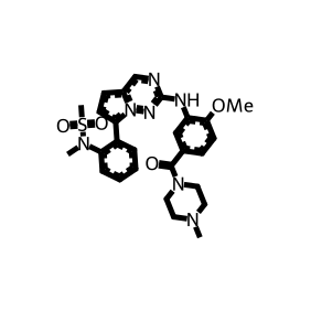 COc1ccc(C(=O)N2CCN(C)CC2)cc1Nc1ncc2ccc(-c3ccccc3N(C)S(C)(=O)=O)n2n1